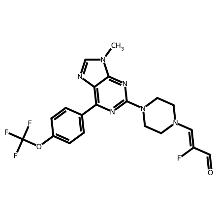 Cn1cnc2c(-c3ccc(OC(F)(F)F)cc3)nc(N3CCN(C=C(F)C=O)CC3)nc21